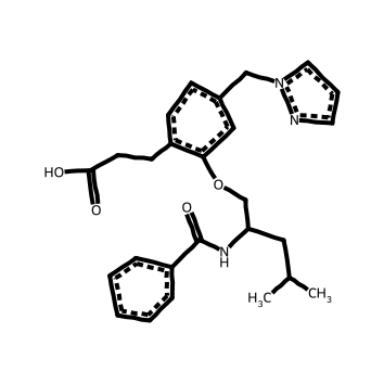 CC(C)CC(COc1cc(Cn2cccn2)ccc1CCC(=O)O)NC(=O)c1ccccc1